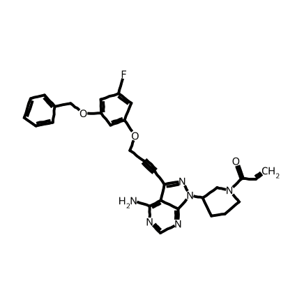 C=CC(=O)N1CCCC(n2nc(C#CCOc3cc(F)cc(OCc4ccccc4)c3)c3c(N)ncnc32)C1